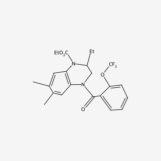 CCOC(=O)N1c2cc(C)c(C)cc2N(C(=O)c2ccccc2OC(F)(F)F)CC1CC